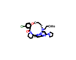 COCCN1CCCCOc2ccc(Cl)cc2C(=O)N2CCCC[C@H]2c2cc3nc(N4CCCC4)cc1n3n2